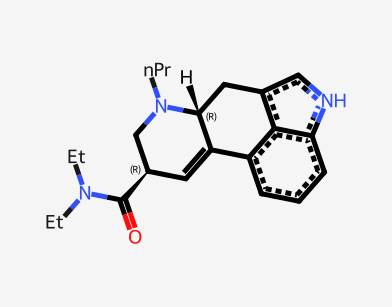 CCCN1C[C@H](C(=O)N(CC)CC)C=C2c3cccc4[nH]cc(c34)C[C@H]21